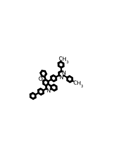 Cc1ccc(-c2cc(-c3ccc(-c4c5c(cc6c(-c7ccc(-c8ccccc8)cc7)nc7ccccc7c46)oc4ccccc45)cc3)nc(-c3ccc(C)cc3)n2)cc1